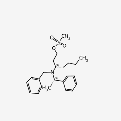 CCCC[C@@H](CCOS(C)(=O)=O)N(Cc1ccccc1)[C@@H](C)c1ccccc1